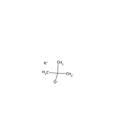 [CH2]C(C)(C)[O-].[K+]